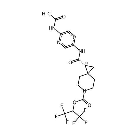 CC(=O)Nc1ccc(NC(=O)[C@@H]2CC23CCN(C(=O)OC(C(F)(F)F)C(F)(F)F)CC3)cn1